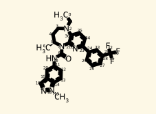 CCN1CC[C@@H](C)N(C(=O)Nc2ccc3c(cnn3C)c2)c2nc(-c3cccc(C(F)(F)F)c3)ccc21